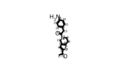 CC(=O)c1cc2c(s1)CCN(C(=O)Cc1ccc(N)cc1)C2